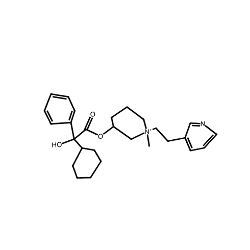 C[N+]1(CCc2cccnc2)CCCC(OC(=O)C(O)(c2ccccc2)C2CCCCC2)C1